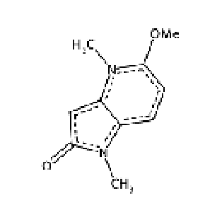 COc1ccc2n(C)c(=O)cc-2n1C